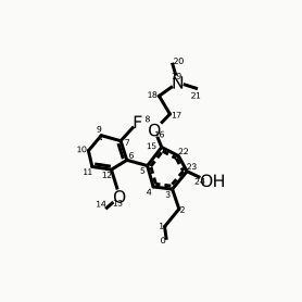 CCCc1cc(C2=C(F)[CH]CC=C2OC)c(OCCN(C)C)cc1O